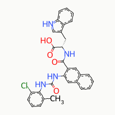 Cc1cccc(Cl)c1NC(=O)Nc1cc2ccccc2cc1C(=O)N[C@@H](Cc1c[nH]c2ccccc12)C(=O)O